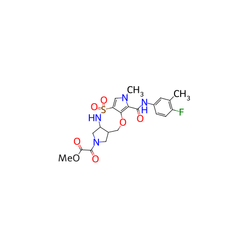 COC(=O)C(=O)N1CC2COc3c(cn(C)c3C(=O)Nc3ccc(F)c(C)c3)S(=O)(=O)NC2C1